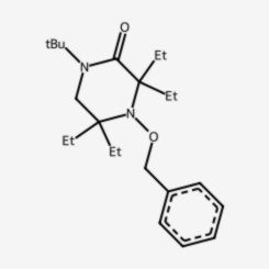 CCC1(CC)CN(C(C)(C)C)C(=O)C(CC)(CC)N1OCc1ccccc1